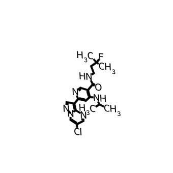 CC(C)Nc1cc(-c2cnn3cc(Cl)cnc23)ncc1C(=O)NCCC(C)(C)F